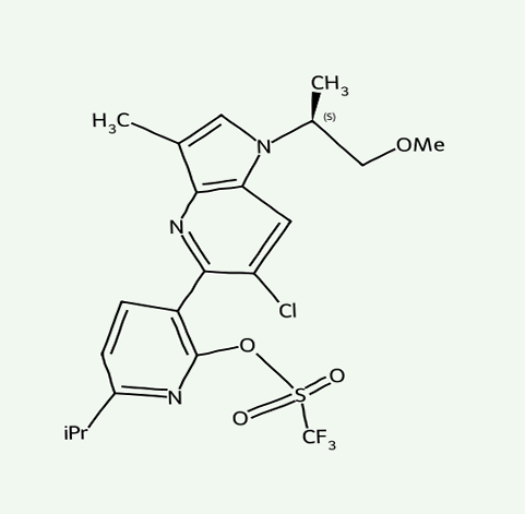 COC[C@H](C)n1cc(C)c2nc(-c3ccc(C(C)C)nc3OS(=O)(=O)C(F)(F)F)c(Cl)cc21